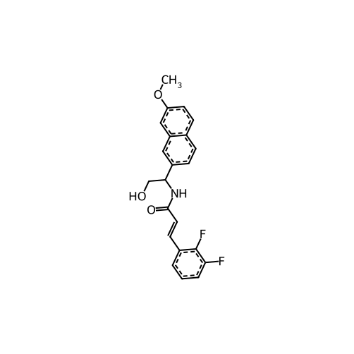 COc1ccc2ccc(C(CO)NC(=O)C=Cc3cccc(F)c3F)cc2c1